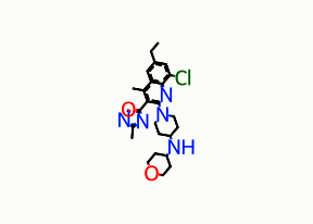 CCc1cc(Cl)c2nc(N3CCC(NC4CCOCC4)CC3)c(-c3nc(C)no3)c(C)c2c1